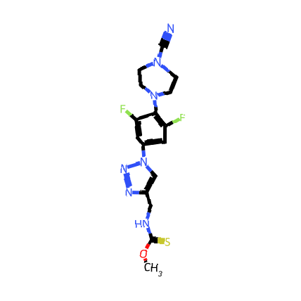 COC(=S)NCc1cn(-c2cc(F)c(N3CCN(C#N)CC3)c(F)c2)nn1